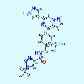 Cn1cc(-c2cn3nccc3c(-c3ccc(CNC(=O)c4cn(C(C)(C)C)nn4)c(C(F)F)c3)n2)cn1